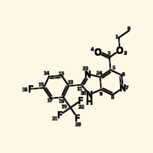 CCOC(=O)c1cncc2[nH]c(-c3ccc(F)cc3C(F)(F)F)nc12